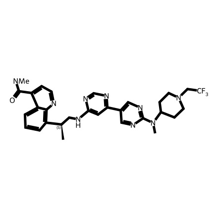 CNC(=O)c1ccnc2c([C@H](C)CNc3cc(-c4cnc(N(C)C5CCN(CC(F)(F)F)CC5)nc4)ncn3)cccc12